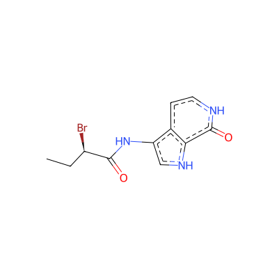 CC[C@@H](Br)C(=O)Nc1c[nH]c2c(=O)[nH]ccc12